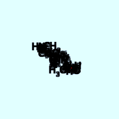 Cc1cc(-c2ccc3c(c2)[C@H]([C@H](NC(=O)C2(F)CC2)C(=O)Nc2ccc(-c4c(C)n[nH]c4C)cc2)CC3)nc(N2C[C@@H]3C[C@H]2CO3)n1